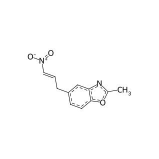 Cc1nc2cc(CC=C[N+](=O)[O-])ccc2o1